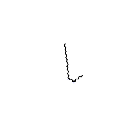 CCCCC/C=C\C/C=C\CCCCCCCCCCCCCCCCC